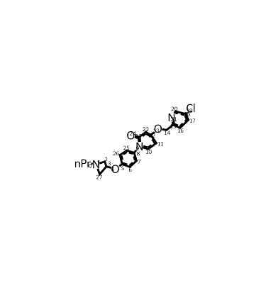 CCCN1CC(Oc2ccc(-n3ccc(OCc4ccc(Cl)cn4)cc3=O)cc2)C1